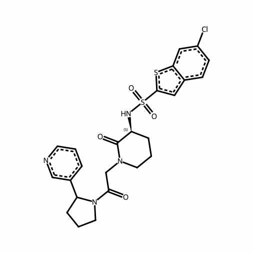 O=C1[C@@H](NS(=O)(=O)c2cc3ccc(Cl)cc3s2)CCCN1CC(=O)N1CCCC1c1cccnc1